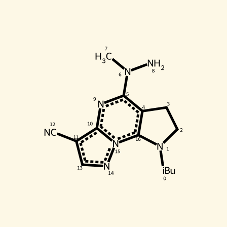 CCC(C)N1CCc2c(N(C)N)nc3c(C#N)cnn3c21